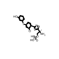 C[C@](N)(COP(=O)(O)O)c1nnc(-c2ccc(Sc3cccc(O)c3)cc2Cl)s1